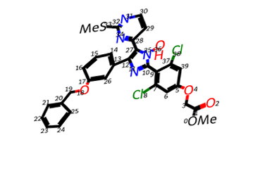 COC(=O)COc1cc(Cl)c(-c2nc(-c3cccc(OCc4ccccc4)c3)c(-c3ccnc(SC)n3)n2O)c(Cl)c1